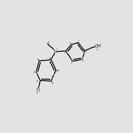 CN(c1ccc(O)cc1)c1ccc(Cl)cc1